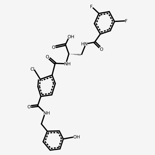 O=C(NCc1cccc(O)c1)c1ccc(C(=O)N[C@@H](CNC(=O)c2cc(F)cc(F)c2)C(=O)O)c(Cl)c1